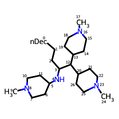 CCCCCCCCCCCCC(NC1CCN(C)CC1)C(C1CCN(C)CC1)C1CCN(C)CC1